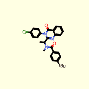 CC(c1nc2ccccc2c(=O)n1-c1ccc(Cl)cc1)N(C)C(=O)c1ccc(C(C)(C)C)cc1